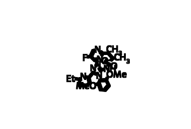 CCc1cccc(-c2nnc(NS(=O)(=O)C(C)C(C)c3ncc(F)cn3)n2-c2c(OC)cccc2OC)n1